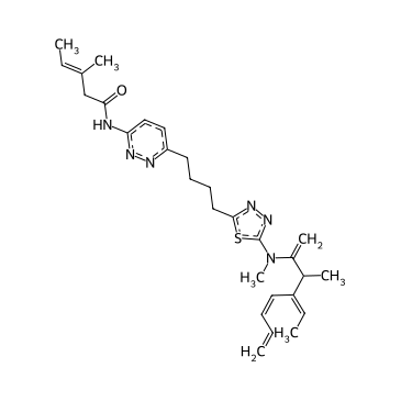 C=C/C=C\C(=C/C)C(C)C(=C)N(C)c1nnc(CCCCc2ccc(NC(=O)C/C(C)=C/C)nn2)s1